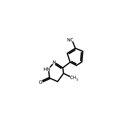 CC1CC(=O)NN=C1c1cccc(C#N)c1